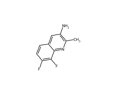 Cc1nc2c(F)c(F)ccc2cc1N